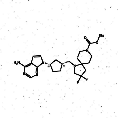 CC(C)(C)OC(=O)N1CCC2(CC1)CC(F)(F)CN2C[C@@H]1CC[C@H](n2ccc3c(N)ncnc32)C1